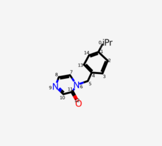 CC(C)c1ccc(Cn2ccncc2=O)cc1